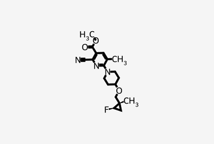 COC(=O)c1cc(C)c(N2CCC(OC[C@]3(C)C[C@H]3F)CC2)nc1C#N